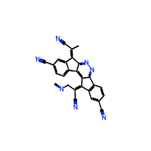 C=NC/C(C#N)=C1/c2cc(C#N)ccc2-c2nnc3c(c21)-c1ccc(C#N)cc1/C3=C(/C)C#N